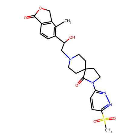 Cc1c(C(O)CN2CCC3(CC2)CCN(c2ccc(S(C)(=O)=O)nn2)C3=O)ccc2c1COC2=O